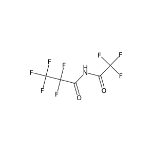 O=C(NC(=O)C(F)(F)C(F)(F)F)C(F)(F)F